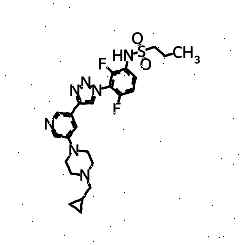 CCCS(=O)(=O)Nc1ccc(F)c(-n2cc(-c3cncc(N4CCN(CC5CC5)CC4)c3)nn2)c1F